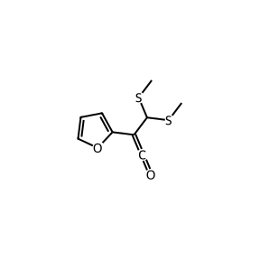 CSC(SC)C(=C=O)c1ccco1